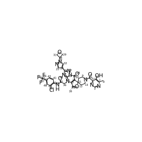 Cc1ncnc(C(=O)N2CCC3(CC2)O[C@H](C)c2c3c(=O)n3nc(-c4cnn(C5COC5)c4)nc3n2CC(=O)Nc2ccc(C(F)(F)F)cc2Cl)c1O